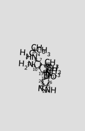 CC(C)(C)CNc1cc2c(cc1N)C[C@H]1N(C(=O)c3ccc4nc[nH]c4c3)CC[C@]2(C)C1(C)C